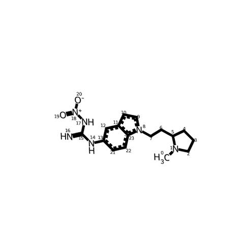 CN1CCCC1CCn1ccc2cc(NC(=N)N[N+](=O)[O-])ccc21